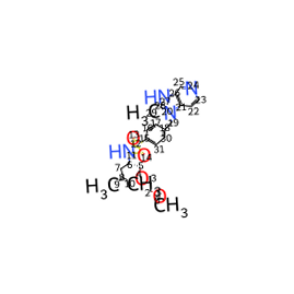 COCCOC[C@H](CC(C)C)NS(=O)(=O)c1ccc(CN2c3ccncc3NC2C)cc1